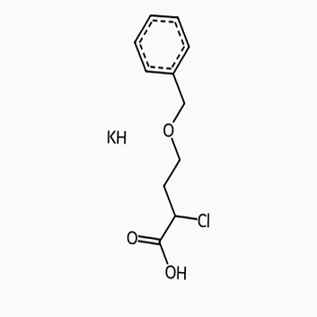 O=C(O)C(Cl)CCOCc1ccccc1.[KH]